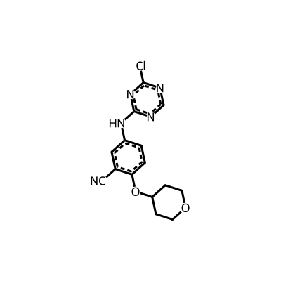 N#Cc1cc(Nc2ncnc(Cl)n2)ccc1OC1CCOCC1